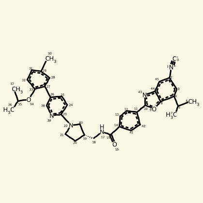 [C-]#[N+]c1cc(C(C)C)c2oc(-c3ccc(C(=O)NC[C@@H]4CCN(c5ccc(-c6cc(C)ccc6OC(C)C)cn5)C4)cc3)nc2c1